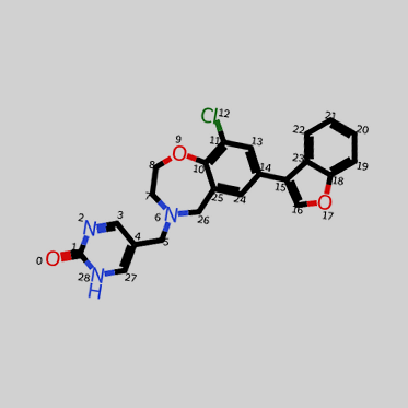 O=c1ncc(CN2CCOc3c(Cl)cc(-c4coc5ccccc45)cc3C2)c[nH]1